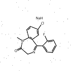 CN1C(=O)CN=C(c2ccccc2F)c2cc(Cl)ccc21.[NaH]